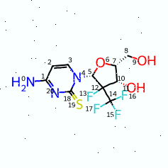 Nc1ccn([C@@H]2O[C@H](CO)[C@H](O)C2(F)C(F)(F)F)c(=S)n1